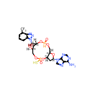 Nc1ncnc2c1ncn2[C@H]1C[C@@H]2OP(=O)(S)OC[C@H]3O[C@@H](n4nnc5c(C(F)(F)F)cccc54)[C@H](O[PH](=O)OC[C@H]2O1)[C@@H]3O